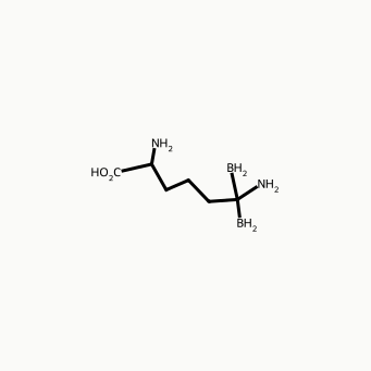 BC(B)(N)CCCC(N)C(=O)O